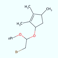 CCCOC(CBr)OC1CC(C)C(C)=C1C